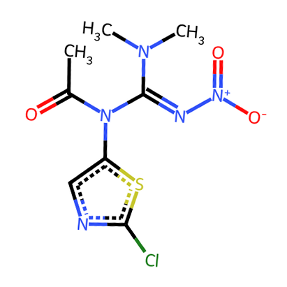 CC(=O)N(C(=N[N+](=O)[O-])N(C)C)c1cnc(Cl)s1